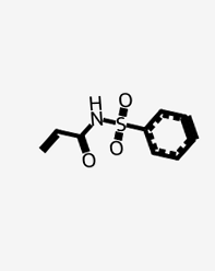 C=CC(=O)NS(=O)(=O)c1cc#ccc1